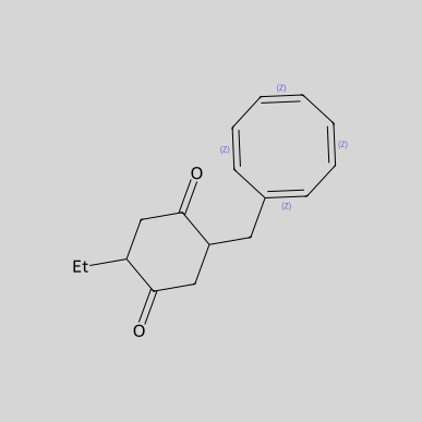 CCC1CC(=O)C(CC2=C/C=C\C=C/C=C\2)CC1=O